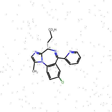 Cc1cnc2n1-c1ccc(Cl)cc1C(c1ccccn1)=N[C@H]2CCC(=O)O